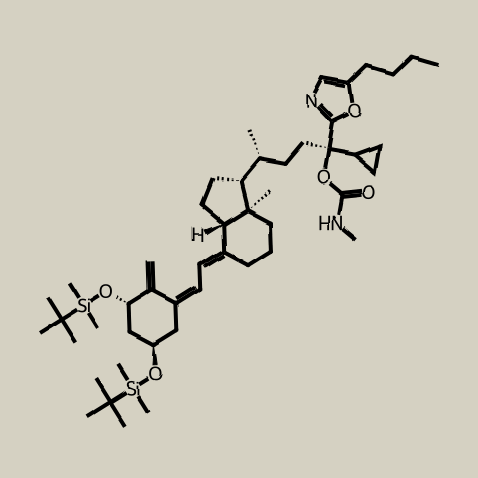 C=C1/C(=C\C=C2/CCC[C@]3(C)[C@@H]([C@H](C)CC[C@](OC(=O)NC)(c4ncc(CCCC)o4)C4CC4)CC[C@@H]23)C[C@@H](O[Si](C)(C)C(C)(C)C)C[C@@H]1O[Si](C)(C)C(C)(C)C